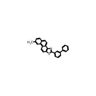 Cc1ccc2ccc3c(ccc4sc(-c5cccc(-c6ccccc6)c5)nc43)c2c1